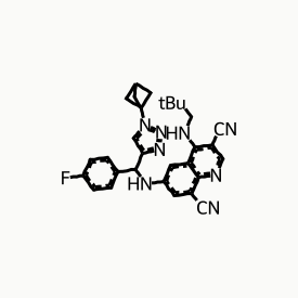 CC(C)(C)CNc1c(C#N)cnc2c(C#N)cc(NC(c3ccc(F)cc3)c3cn(C45CC(C4)C5)nn3)cc12